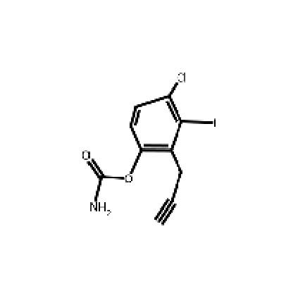 C#CCc1c(OC(N)=O)ccc(Cl)c1I